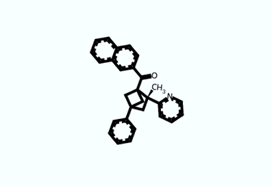 C[C@@]1(c2ccccn2)CC2(c3ccccc3)CC1(C(=O)c1ccc3ccccc3c1)C2